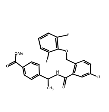 COC(=O)c1ccc(C(C)NC(=O)c2cc(Cl)ccc2COc2c(F)cccc2F)cc1